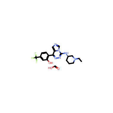 CCN1CCC[C@@H](Nc2nnc(-c3ccc(C(F)(F)F)cc3O)c3cncn23)C1.O=CO